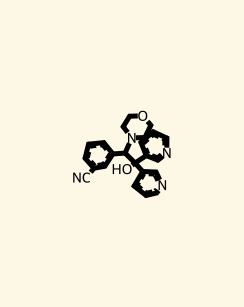 N#Cc1cccc(C(N2CCOCC2)C(O)(c2cccnc2)c2cccnc2)c1